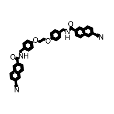 N#Cc1ccc2cc(C(=O)NCc3ccc(OCCOc4ccc(CNC(=O)c5ccc6cc(C#N)ccc6c5)cc4)cc3)ccc2c1